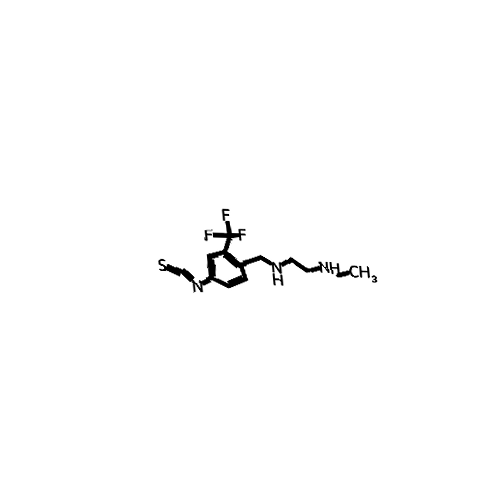 CCNCCNCc1ccc(N=C=S)cc1C(F)(F)F